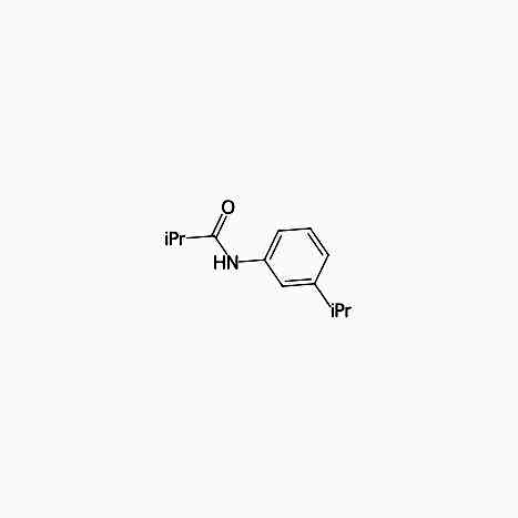 CC(C)C(=O)Nc1cccc(C(C)C)c1